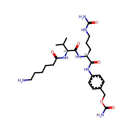 CC(C)[C@H](NC(=O)CCCCCN)C(=O)N[C@@H](CCCNC(N)=O)C(=O)Nc1ccc(COC(N)=O)cc1